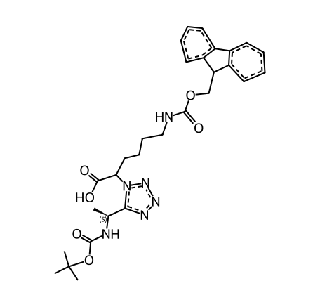 C[C@H](NC(=O)OC(C)(C)C)c1nnnn1C(CCCCNC(=O)OCC1c2ccccc2-c2ccccc21)C(=O)O